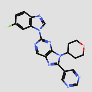 Fc1ccc2ncn(-c3ncc4nc(-c5cncnc5)n(C5CCOCC5)c4n3)c2c1